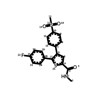 CNC(=O)c1cc(-c2ccc(S(C)(=O)=O)cc2)c(-c2ccc(F)cc2)s1